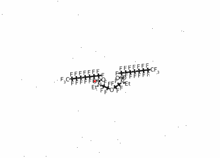 CCN(C(F)(F)C(F)(F)OC(F)(F)C(F)(F)N(CC)S(=O)(=O)C(F)(F)C(F)(F)C(F)(F)C(F)(F)C(F)(F)C(F)(F)C(F)(F)C(F)(F)F)S(=O)(=O)C(F)(F)C(F)(F)C(F)(F)C(F)(F)C(F)(F)C(F)(F)C(F)(F)C(F)(F)F